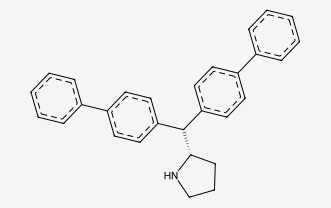 c1ccc(-c2ccc(C(c3ccc(-c4ccccc4)cc3)[C@@H]3CCCN3)cc2)cc1